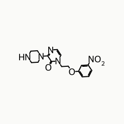 O=c1c(N2CCNCC2)nccn1CCOc1cccc([N+](=O)[O-])c1